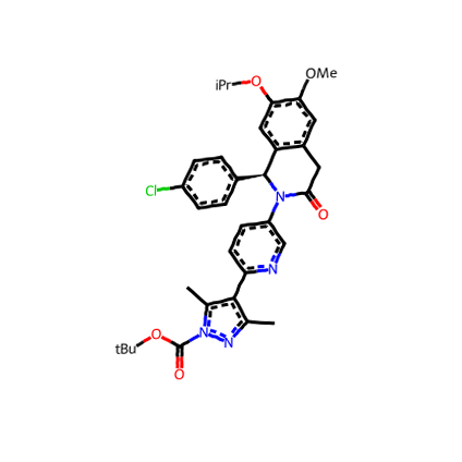 COc1cc2c(cc1OC(C)C)[C@H](c1ccc(Cl)cc1)N(c1ccc(-c3c(C)nn(C(=O)OC(C)(C)C)c3C)nc1)C(=O)C2